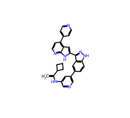 C=C(Nc1cncc(-c2ccc3[nH]nc(-c4cc5c(-c6ccncc6)ccnc5[nH]4)c3c2)c1)C1CCC1